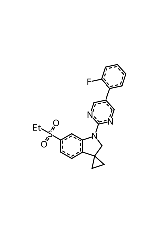 CCS(=O)(=O)c1ccc2c(c1)N(c1ncc(-c3ccccc3F)cn1)CC21CC1